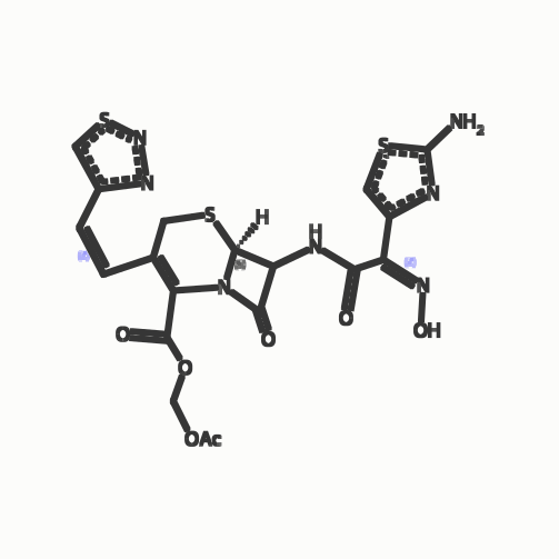 CC(=O)OCOC(=O)C1=C(/C=C\c2csnn2)CS[C@H]2C(NC(=O)/C(=N\O)c3csc(N)n3)C(=O)N12